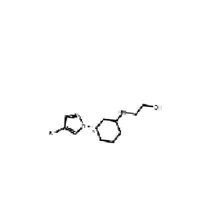 OCCNC1CCC[C@H](n2cc(Br)cn2)C1